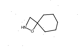 C1CCC2(CC1)CNO2